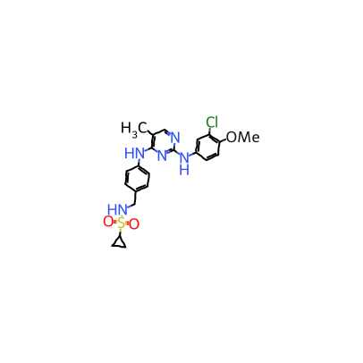 COc1ccc(Nc2ncc(C)c(Nc3ccc(CNS(=O)(=O)C4CC4)cc3)n2)cc1Cl